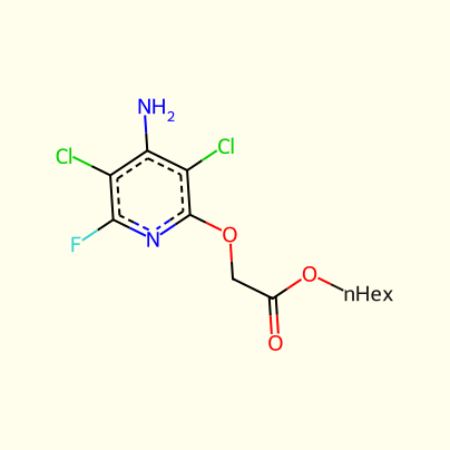 CCCCCCOC(=O)COc1nc(F)c(Cl)c(N)c1Cl